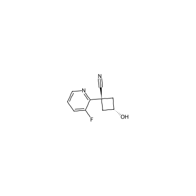 N#C[C@]1(c2ncccc2F)C[C@@H](O)C1